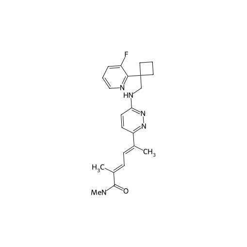 CNC(=O)/C(C)=C/C=C(\C)c1ccc(NCC2(c3ncccc3F)CCC2)nn1